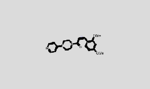 COc1ccc(/C=C\C(=O)N2CCN(c3ccncc3)CC2)c(OC)c1